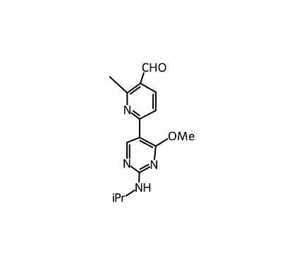 COc1nc(NC(C)C)ncc1-c1ccc(C=O)c(C)n1